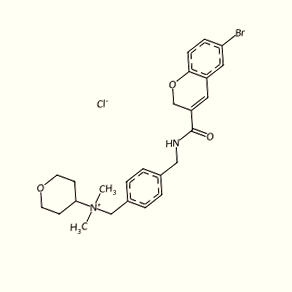 C[N+](C)(Cc1ccc(CNC(=O)C2=Cc3cc(Br)ccc3OC2)cc1)C1CCOCC1.[Cl-]